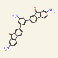 Nc1cc(-c2ccc3c(c2)C(=O)c2cc(N)ccc2-3)cc(-c2ccc3c(c2)C(=O)c2cc(N)ccc2-3)c1